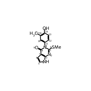 CSc1nc2[nH]ccc2c(=O)n1-c1ccc(O)c(C)c1